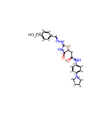 O=C(CC1S/C(=N/N=C/c2ccc(C(=O)O)cc2)NC1=O)Nc1ccc(N2CCCC2)cc1